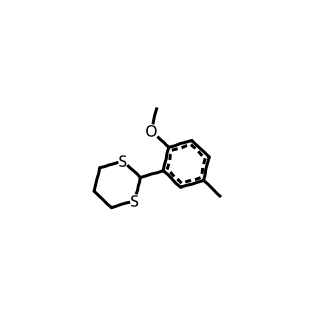 COc1ccc(C)cc1C1SCCCS1